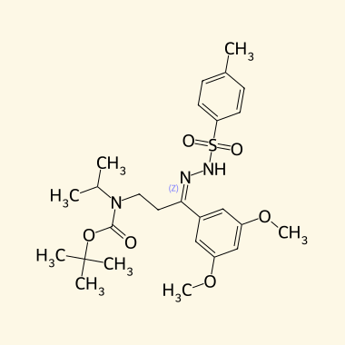 COc1cc(OC)cc(/C(CCN(C(=O)OC(C)(C)C)C(C)C)=N\NS(=O)(=O)c2ccc(C)cc2)c1